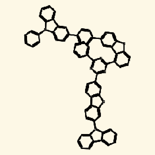 c1ccc(-c2nc(-c3ccc4c(c3)oc3cc(-n5c6ccccc6c6ccccc65)ccc34)nc(-c3cccc4oc5ccc(-c6ccc(-c7ccc8c(c7)c7ccccc7n8-c7ccccc7)cc6)cc5c34)n2)cc1